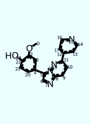 COc1cc(-c2cnc3ccc(-c4ccncc4)nn23)ccc1O